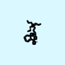 CCC[N+](CCC)(CCC)CCC.O=C([O-])c1ccccc1O